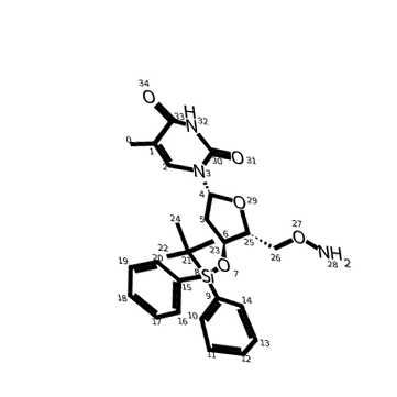 Cc1cn([C@H]2C[C@H](O[Si](c3ccccc3)(c3ccccc3)C(C)(C)C)[C@@H](CON)O2)c(=O)[nH]c1=O